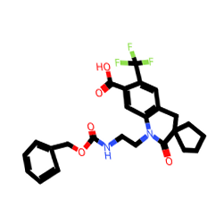 O=C(NCCN1C(=O)C2(CCCC2)Cc2cc(C(F)(F)F)c(C(=O)O)cc21)OCc1ccccc1